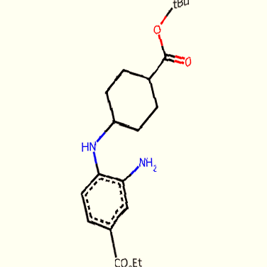 CCOC(=O)c1ccc(NC2CCC(C(=O)OC(C)(C)C)CC2)c(N)c1